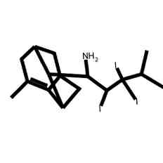 CC1=C2C3CC(C1)C(C(N)C(I)C(I)(I)C(C)C)C2C3